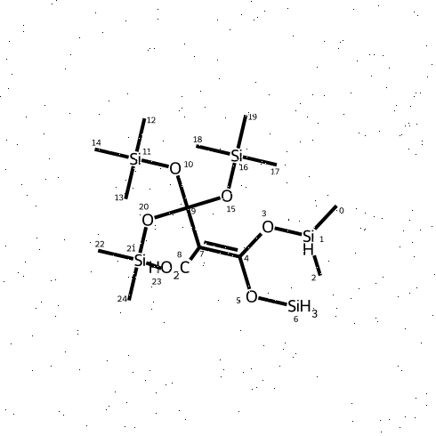 C[SiH](C)OC(O[SiH3])=C(C(=O)O)C(O[Si](C)(C)C)(O[Si](C)(C)C)O[Si](C)(C)C